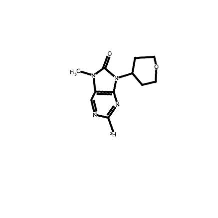 [2H]c1ncc2c(n1)n(C1CCOCC1)c(=O)n2C